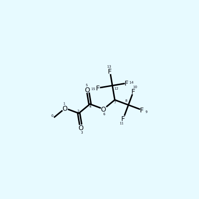 COC(=O)C(=O)OC(C(F)(F)F)C(F)(F)F